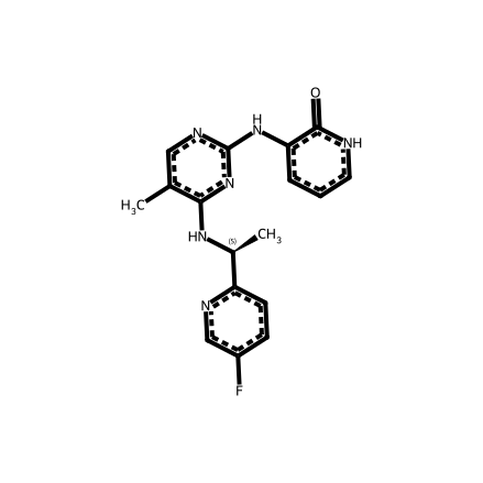 Cc1cnc(Nc2ccc[nH]c2=O)nc1N[C@@H](C)c1ccc(F)cn1